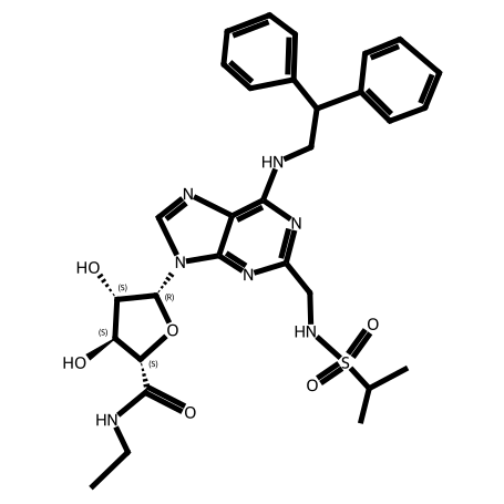 CCNC(=O)[C@H]1O[C@@H](n2cnc3c(NCC(c4ccccc4)c4ccccc4)nc(CNS(=O)(=O)C(C)C)nc32)[C@@H](O)[C@@H]1O